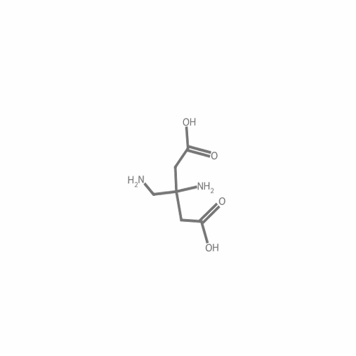 NCC(N)(CC(=O)O)CC(=O)O